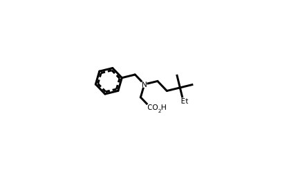 CCC(C)(C)CCN(CC(=O)O)Cc1ccccc1